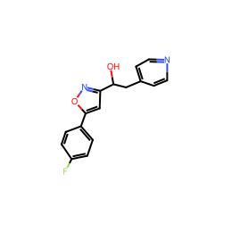 OC(Cc1ccncc1)c1cc(-c2ccc(F)cc2)on1